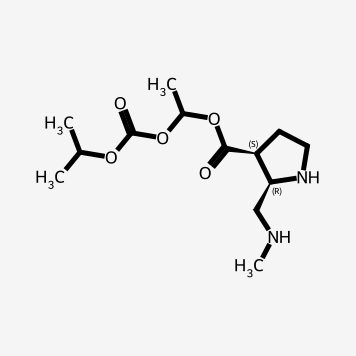 CNC[C@@H]1NCC[C@@H]1C(=O)OC(C)OC(=O)OC(C)C